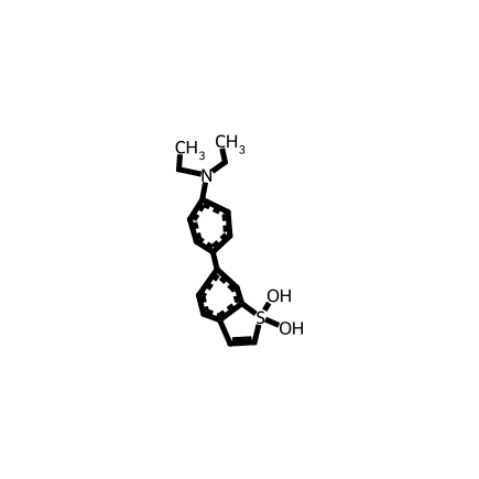 CCN(CC)c1ccc(-c2ccc3c(c2)S(O)(O)C=C3)cc1